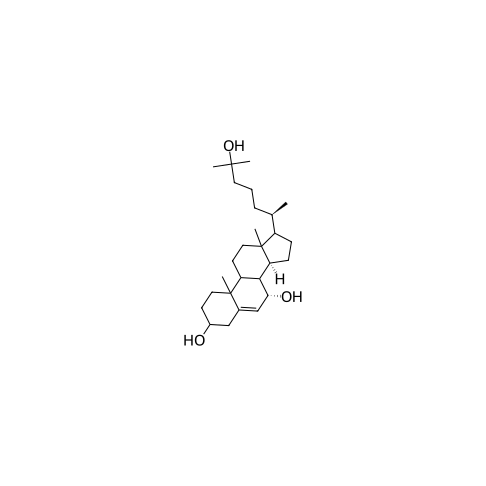 C[C@H](CCCC(C)(C)O)C1CC[C@H]2C3C(CCC12C)C1(C)CCC(O)CC1=C[C@H]3O